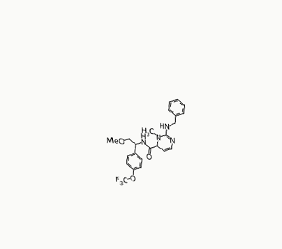 COCC(NC(=O)C1C=CN=C(NCc2ccccc2)N1C)c1ccc(OC(F)(F)F)cc1